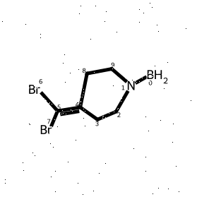 BN1CCC(=C(Br)Br)CC1